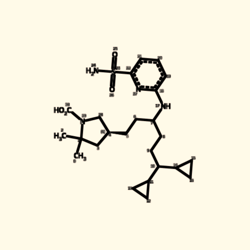 CC1(C)C[C@H](CCC(CCC(C2CC2)C2CC2)Nc2cccc(S(N)(=O)=O)n2)CN1C(=O)O